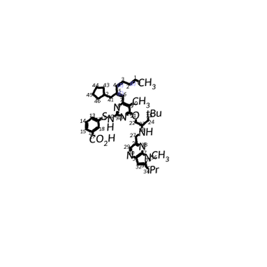 C/C=C/C=C\C(=C\c1nc(NSc2cccc(C(=O)O)c2)nc(OCC(CC(C)(C)C)NCc2cnc3cc(C(C)C)n(C)c3n2)c1C)CC1CCCC1